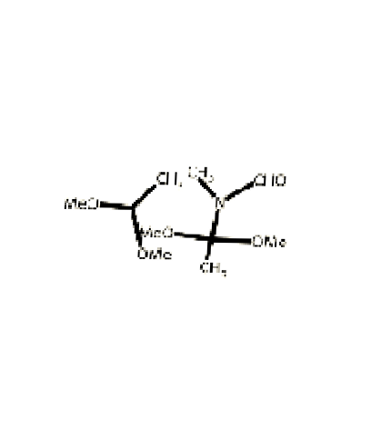 COC(C)(OC)N(C)C=O.COC(C)OC